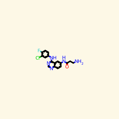 NCCC(=O)Nc1ccc2ncnc(Nc3ccc(F)c(Cl)c3)c2c1